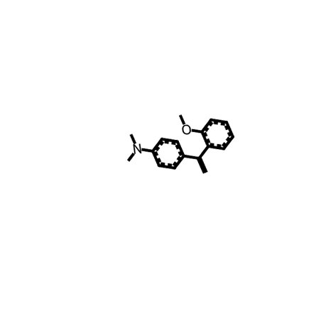 C=C(c1ccc(N(C)C)cc1)c1ccccc1OC